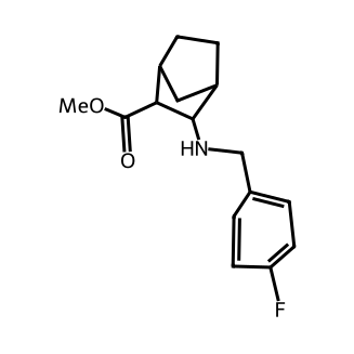 COC(=O)C1C2CCC(C2)C1NCc1ccc(F)cc1